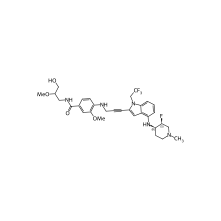 COc1cc(C(=O)NCC(CO)OC)ccc1NCC#Cc1cc2c(N[C@@H]3CCN(C)C[C@@H]3F)cccc2n1CC(F)(F)F